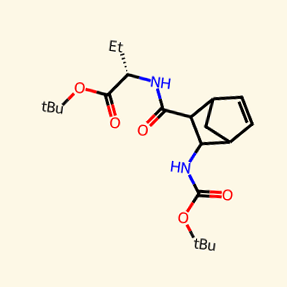 CC[C@H](NC(=O)C1C2C=CC(C2)C1NC(=O)OC(C)(C)C)C(=O)OC(C)(C)C